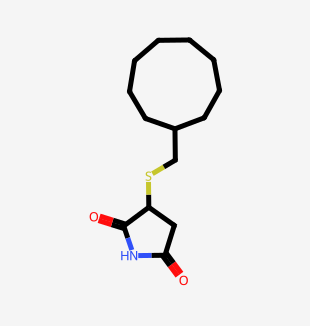 O=C1CC(SCC2CCCCCCCC2)C(=O)N1